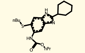 CCCCSc1cc2[nH]c(C3CCCCC3)nc2cc1NC(=O)OCCC